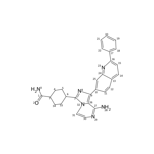 NC(=O)C1CCC(c2nc(-c3ccc4ccc(-c5ccccc5)nc4c3)c3c(N)nccn23)CC1